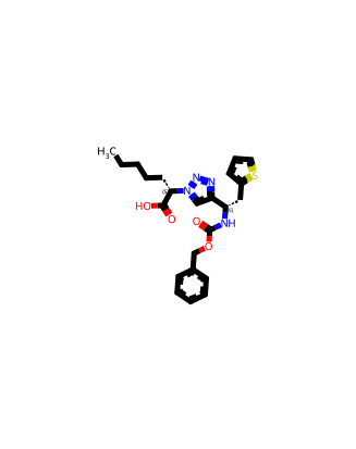 CCCCC[C@@H](C(=O)O)n1cc([C@H](Cc2cccs2)NC(=O)OCc2ccccc2)nn1